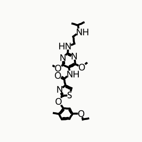 CCOc1ccc(C)c(Oc2nc(C(=O)Nc3c(OC)nc(NCCNC(C)C)nc3OC)cs2)c1